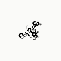 C[C@H](OC1CCCCO1)C1COc2c(Cl)c(Br)c(F)c3nc(OC[C@@]45CCCN4C[C@H](F)C5)nc(c23)N1CC(F)F